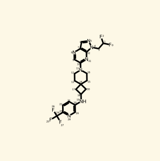 FC(F)Cn1ncc2ncc(N3CCC4(CC3)CC(Nc3ccc(C(F)(F)F)nc3)C4)nc21